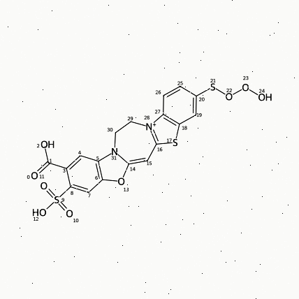 O=C(O)c1cc2c(cc1S(=O)(=O)O)OC1=Cc3sc4cc(SOOO)ccc4[n+]3CCN12